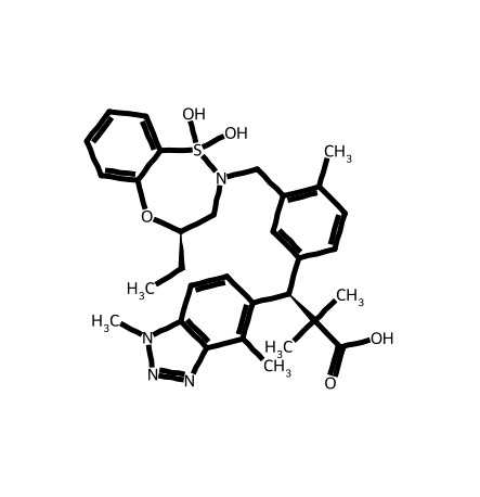 CC[C@@H]1CN(Cc2cc([C@H](c3ccc4c(nnn4C)c3C)C(C)(C)C(=O)O)ccc2C)S(O)(O)c2ccccc2O1